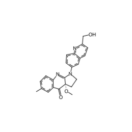 CO[C@@]12CCN(c3ccc4nc(CO)ccc4c3)C1=Nc1ccc(C)cc1C2=O